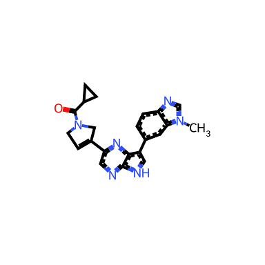 Cn1cnc2ccc(-c3c[nH]c4ncc(C5=CCN(C(=O)C6CC6)C5)nc34)cc21